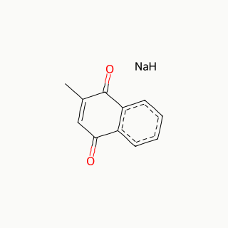 CC1=CC(=O)c2ccccc2C1=O.[NaH]